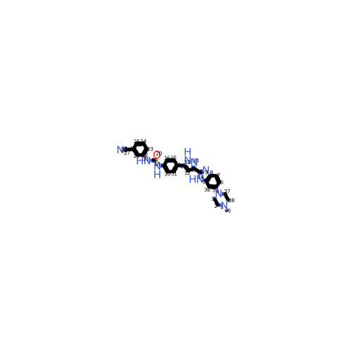 CN1CCN(c2ccc3nc(-c4cc(-c5ccc(NC(=O)Nc6cccc(C#N)c6)cc5)[nH]n4)[nH]c3c2)CC1